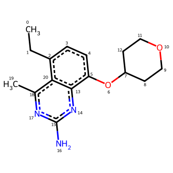 CCc1ccc(OC2CCOCC2)c2nc(N)nc(C)c12